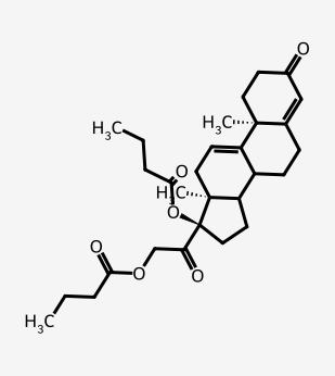 CCCC(=O)OCC(=O)[C@@]1(OC(=O)CCC)CCC2C3CCC4=CC(=O)CC[C@]4(C)C3=CC[C@@]21C